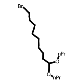 CCCOC(CCCCCCCCBr)OCCC